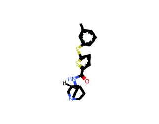 Cc1cccc(Sc2ccc(C(=O)N[C@H]3CN4CCC3CC4)s2)c1